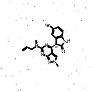 C=CCN(C)c1nc([C@@H]2C(=O)Nc3ccc(Br)cc32)c2cn(C)nc2n1